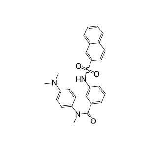 CN(C)c1ccc(N(C)C(=O)c2cccc(NS(=O)(=O)c3ccc4ccccc4c3)c2)cc1